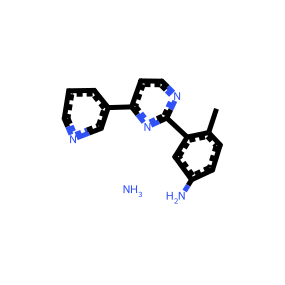 Cc1ccc(N)cc1-c1nccc(-c2cccnc2)n1.N